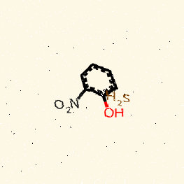 O=[N+]([O-])c1ccccc1O.S